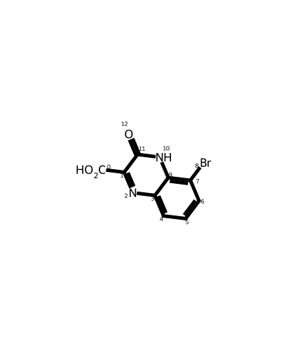 O=C(O)c1nc2cccc(Br)c2[nH]c1=O